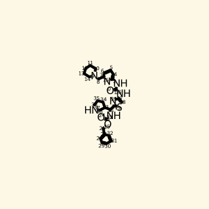 O=C(Nc1cccc(CN2CCCCC2)n1)Nc1csc(C(NC(=O)OCc2ccccc2)C2CCCNC2)n1